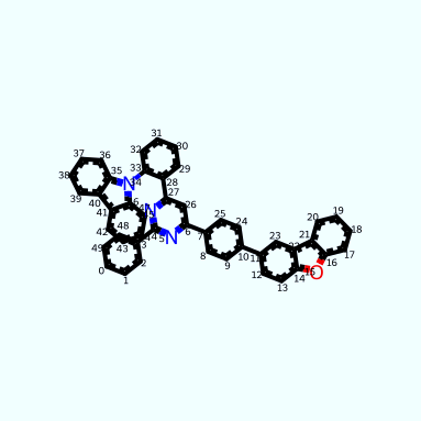 c1ccc(-c2nc(-c3ccc(-c4ccc5oc6ccccc6c5c4)cc3)cc(-c3ccccc3-n3c4ccccc4c4ccccc43)n2)cc1